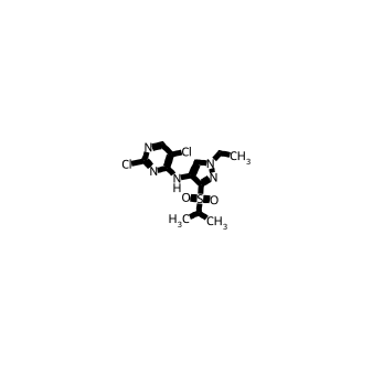 CCn1cc(Nc2nc(Cl)ncc2Cl)c(S(=O)(=O)C(C)C)n1